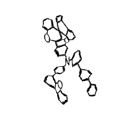 c1ccc(-c2ccc(-c3cccc(N(c4ccc(-c5cccc6c5oc5ccccc56)cc4)c4ccc5c6c(oc5c4)C4(c5ccccc5O6)c5ccccc5-c5ccccc54)c3)cc2)cc1